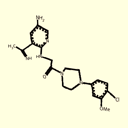 COc1cc(N2CCN(C(=O)CNc3ncc(N)cc3C(C)=N)CC2)ccc1Cl